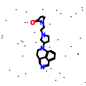 O=C1CCN1CCN1CCC(N2CCc3cncc4cccc2c34)C1